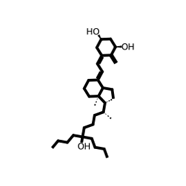 C=C1/C(=C\C=C2CCC[C@@]3(C)C2CC[C@@H]3[C@H](C)CCCC(O)(CCCC)CCCC)C[C@@H](O)C[C@H]1O